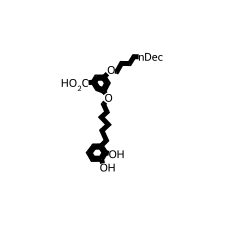 CCCCCCCCCCCCCCOc1cc(OCCCCCCc2cccc(O)c2O)cc(C(=O)O)c1